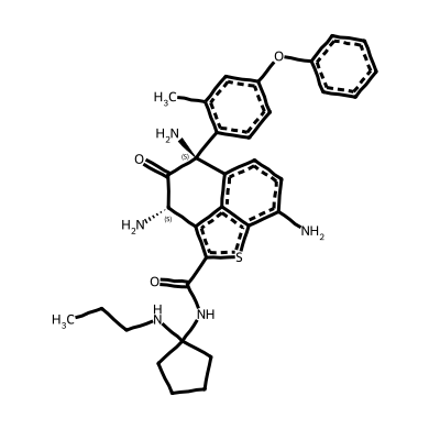 CCCNC1(NC(=O)c2sc3c(N)ccc4c3c2[C@H](N)C(=O)[C@]4(N)c2ccc(Oc3ccccc3)cc2C)CCCC1